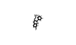 NCCc1cc2ccc(F)cc2nc1-c1ccccc1